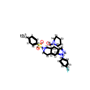 CC(C)(C)c1ccc(S(=O)(=O)N2CCC3=Cc4c(cnn4-c4ccc(F)cc4)C[C@]3(C(=O)N3CCCCC3)C2)cc1